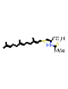 CNC(=S)N[C@@H](CSC/C=C(\C)CC/C=C(\C)CCC=C(C)C)C(=O)O